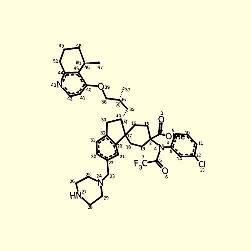 COC(=O)C1(N(C(=O)C(F)(F)F)c2cccc(Cl)c2)CCC2(CC1)c1cc(CN3CCNCC3)ccc1C[C@@H]2C[C@@H](C)COc1ccnc2c1[C@H](C)CCC2